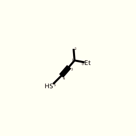 CCC(C)C#CS